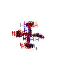 CC(=O)N[C@H]1[C@H](OCCOCCNC(=O)CCOCC(COCCC(=O)NCCOCCO[C@@H]2O[C@H](CO)[C@H](O)[C@H](O)[C@H]2NC(C)=O)(COCCC(=O)NCCOCCO[C@@H]2O[C@H](CO)[C@H](O)[C@H](O)[C@H]2NC(C)=O)NC(=O)CCOCCOCCNC(=O)CCc2ccc(OI)cc2)O[C@H](CO)[C@H](O)[C@@H]1O